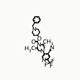 C[C@@H]1CN(c2cnc(C(F)(F)F)cc2C#N)C[C@@H](C)N1C(=O)OC1CCN(Cc2ccccc2)CC1